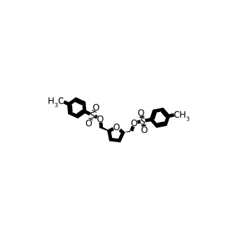 Cc1ccc(S(=O)(=O)OC[C@@H]2CC[C@@H](COS(=O)(=O)c3ccc(C)cc3)O2)cc1